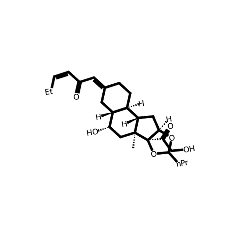 CC/C=C\C(=O)/C=C1/CC[C@@H]2[C@@H](C1)[C@@H](O)C[C@@]1(C)[C@H]2C[C@H]2OC(CCC)O[C@]21C(=O)CO